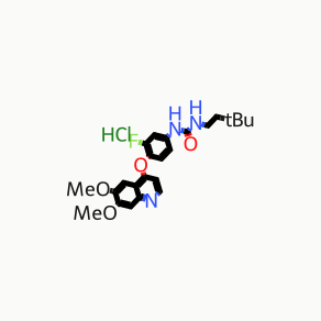 COc1cc2nccc(Oc3ccc(NC(=O)NCCC(C)(C)C)cc3F)c2cc1OC.Cl